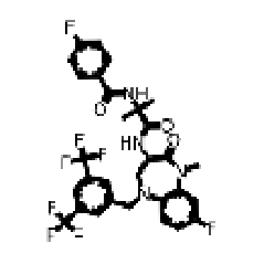 CN1C(=O)[C@H](NC(=O)C(C)(C)NC(=O)c2ccc(F)cc2)CN(Cc2cc(C(F)(F)F)cc(C(F)(F)F)c2)c2ccc(F)cc21